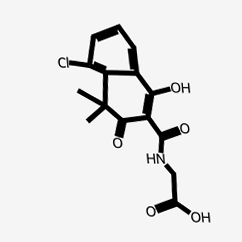 CC1(C)C(=O)C(C(=O)NCC(=O)O)=C(O)c2cccc(Cl)c21